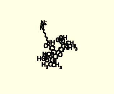 CC1(C)C=C(CS(=O)(=O)O)c2cc3c(cc2=N1)Oc1cc2c(cc1C=3c1ccc(C(=O)NCCCCCCN=[N+]=[N-])cc1C(=O)O)C(CS(=O)(=O)O)=CC(C)(C)N2